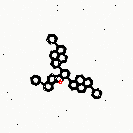 c1ccc(-c2cccc3c2ccc2c3oc3c(-c4ccc5ccc6c(-c7ccccc7)ccc7ccc4c5c76)ccc(-c4ccc5ccc6c(-c7ccccc7)ccc7ccc4c5c76)c32)cc1